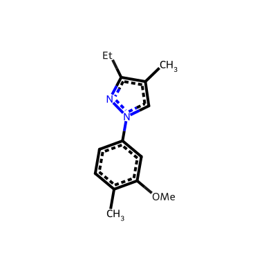 CCc1nn(-c2ccc(C)c(OC)c2)cc1C